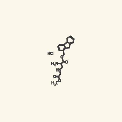 COC(=O)CNCC(N)C(=O)OCc1cccc2c1Cc1ccccc1-2.Cl